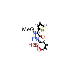 CONC(C(=O)N[C@H]1CC=CCOB1O)c1cccs1